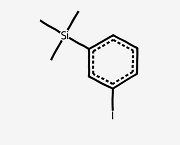 C[Si](C)(C)c1cccc(I)c1